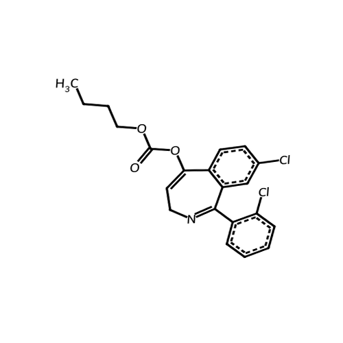 CCCCOC(=O)OC1=CCN=C(c2ccccc2Cl)c2cc(Cl)ccc21